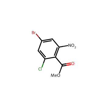 COC(=O)c1c(Cl)cc(Br)cc1[N+](=O)[O-]